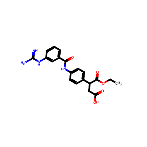 CCOC(=O)C(CC(=O)O)c1ccc(NC(=O)c2cccc(NC(=N)N)c2)cc1